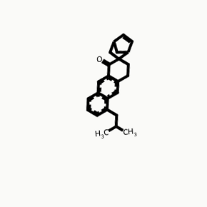 CC(C)Cc1cccc2cc3c(cc12)CCC1(CC2C=CC1C2)C3=O